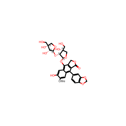 COc1cc2c(-c3ccc4c(c3)OCO4)c3c(c(O[C@@H]4OC[C@](O)(CO)[C@H]4O[C@@H]4OC[C@](O)(CO)[C@H]4O)c2cc1O)COC3=O